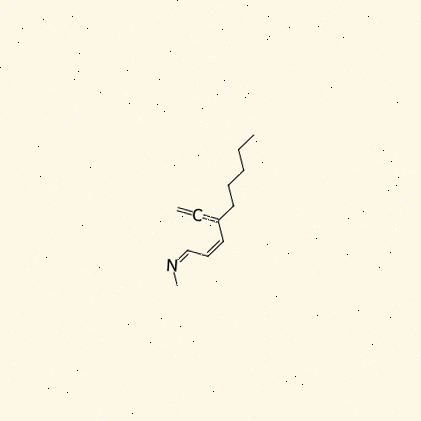 C=C=C(/C=C\C=N/C)CCCCC